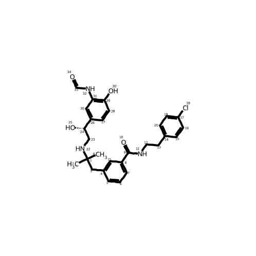 CC(C)(Cc1cccc(C(=O)NCCc2ccc(Cl)cc2)c1)NC[C@H](O)c1ccc(O)c(NC=O)c1